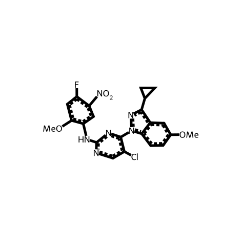 COc1ccc2c(c1)c(C1CC1)nn2-c1nc(Nc2cc([N+](=O)[O-])c(F)cc2OC)ncc1Cl